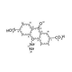 O=C(O)c1ccc2oc3cc(S(=O)(=O)O)ccc3c(=O)c2c1.[Na].[Na]